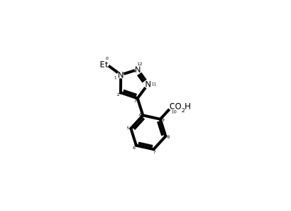 CCn1cc(-c2ccccc2C(=O)O)nn1